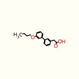 CCCCOc1cccc(-c2cccc(CC(=O)O)c2)c1